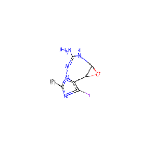 CC(C)c1nc(I)c2n1N=C(N)NC1OC21